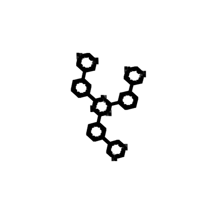 c1cc(-c2cncnc2)cc(-c2nc(-c3cccc(-c4cncnc4)c3)nc(-c3cccc(-c4cncnc4)c3)n2)c1